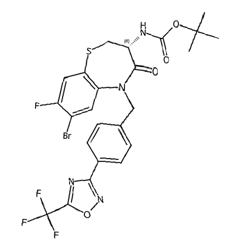 CC(C)(C)OC(=O)N[C@H]1CSc2cc(F)c(Br)cc2N(Cc2ccc(-c3noc(C(F)(F)F)n3)cc2)C1=O